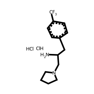 Cl.Cl.NC(Cc1ccc(C(F)(F)F)cc1)CN1CCCC1